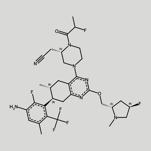 Cc1cc(N)c(F)c([C@@H]2Cc3nc(OC[C@@H]4C[C@@H](F)CN4C)nc(N4CCN(C(=O)C(C)F)[C@@H](CC#N)C4)c3C[C@H]2C)c1C(F)(F)F